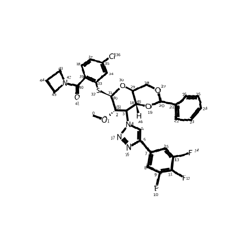 CO[C@H]1C(n2cc(-c3cc(F)c(F)c(F)c3)nn2)[C@H]2OC(c3ccccc3)OCC2O[C@@H]1Sc1cc(Cl)ccc1C(=O)N1CCC1